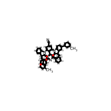 Cc1cccc(-c2ccc3c(c2)c2ccccc2n3-c2cc(C#N)cc(-n3c4ccccc4c4cc(-c5cccc(C)c5)ccc43)c2-c2cc(-c3ccccc3)nc(-c3ccccc3)n2)c1